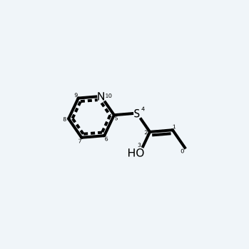 C/C=C(\O)Sc1ccccn1